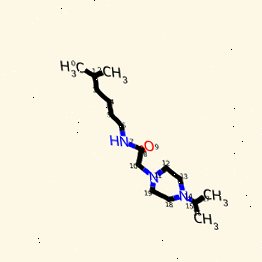 CC(C)CCCCNC(=O)CN1CCN(C(C)C)CC1